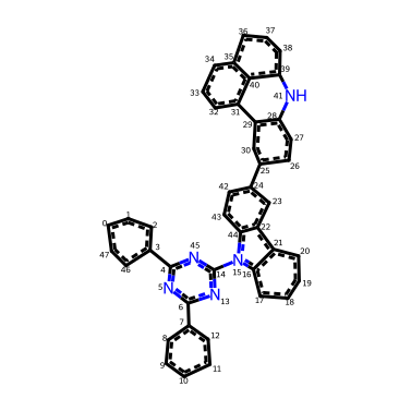 c1ccc(-c2nc(-c3ccccc3)nc(-n3c4ccccc4c4cc(-c5ccc6c(c5)-c5cccc7cccc(c57)N6)ccc43)n2)cc1